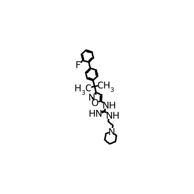 CC(C)(c1ccc(-c2ccccc2F)cc1)c1cc(NC(=N)NCCN2CCCCC2)on1